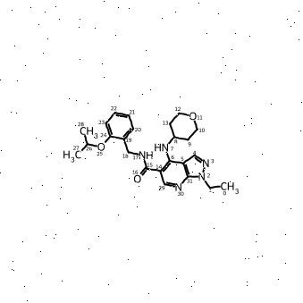 CCn1ncc2c(NC3CCOCC3)c(C(=O)NCc3ccccc3OC(C)C)cnc21